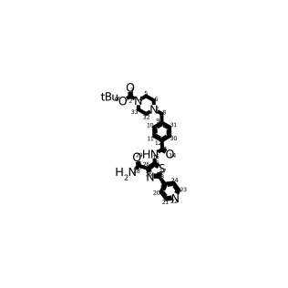 CC(C)(C)OC(=O)N1CCN(Cc2ccc(C(=O)Nc3sc(-c4ccncc4)nc3C(N)=O)cc2)CC1